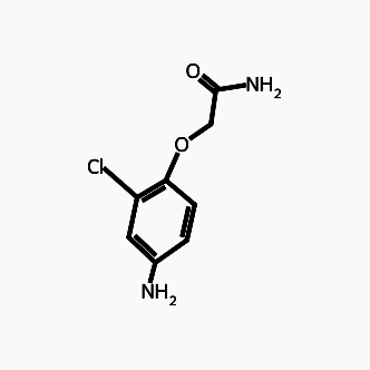 NC(=O)COc1ccc(N)cc1Cl